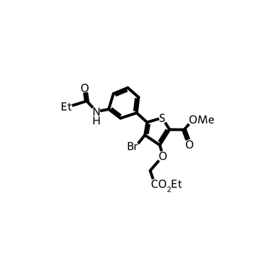 CCOC(=O)COc1c(C(=O)OC)sc(-c2cccc(NC(=O)CC)c2)c1Br